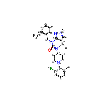 Cc1cccc(F)c1N1CCC(N2C(=O)N(Cc3ccccc3C(F)(F)F)c3nn(C)cc3[C@@H]2C)CC1